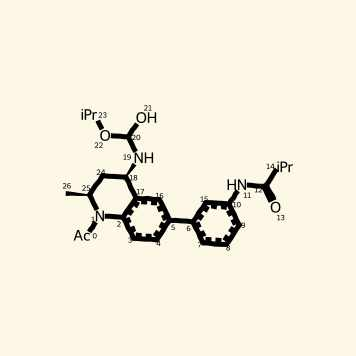 CC(=O)N1c2ccc(-c3cccc(NC(=O)C(C)C)c3)cc2[C@H](NC(O)OC(C)C)C[C@@H]1C